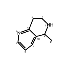 CC1NCCc2ncccc21